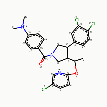 CC(Oc1ccc(Cl)cn1)C1CN(C(=O)c2ccc(N(C)C)cc2)CC1c1ccc(Cl)c(Cl)c1